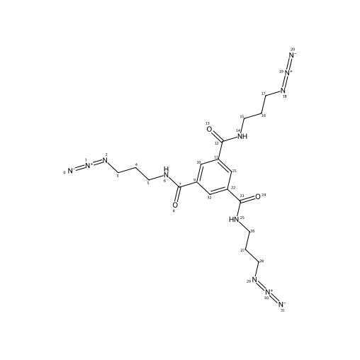 [N-]=[N+]=NCCCNC(=O)c1cc(C(=O)NCCCN=[N+]=[N-])cc(C(=O)NCCCN=[N+]=[N-])c1